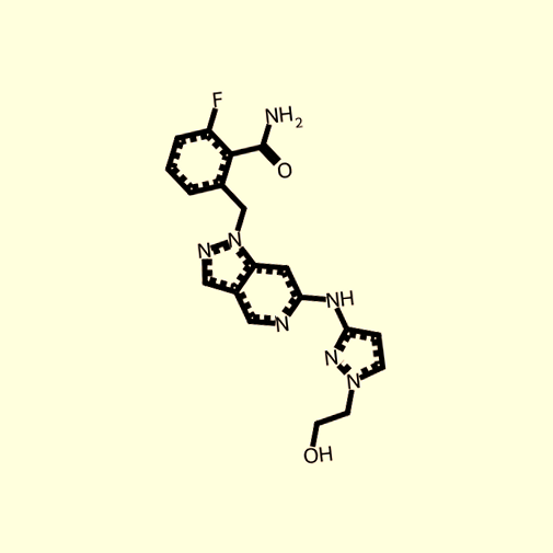 NC(=O)c1c(F)cccc1Cn1ncc2cnc(Nc3ccn(CCO)n3)cc21